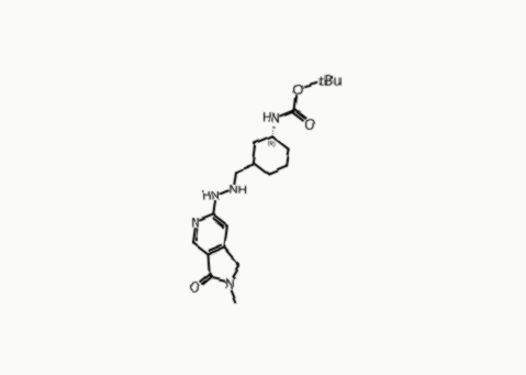 CN1Cc2cc(NNCC3CCC[C@@H](NC(=O)OC(C)(C)C)C3)ncc2C1=O